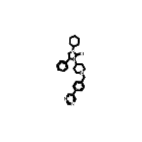 O=C1N(C2CCCCC2)CC(c2ccccc2)N1C1CCN(Cc2ccc(-c3cncnc3)cc2)CC1